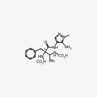 Cn1ncc(NC(=O)[C@@](Cc2ccccc2)(NC(=O)O)C(NC(=O)O)C(C)(C)C)c1N